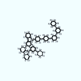 C1=CC2C3=C(C(c4ccc5c(c4)c4ccccc4n5-c4ccc(-c5ccc(-c6cccc(-c7cccc(-c8ccccc8)c7)c6)cc5)cc4)CC=C3)N(c3cccc(C4CCCCC4)c3)C2C=C1